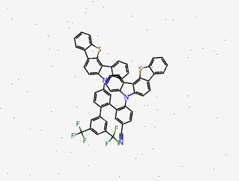 N#Cc1ccc(-n2c3ccccc3c3c4sc5ccccc5c4ccc32)c(-c2cc(-n3c4ccccc4c4c5sc6ccccc6c5ccc43)ccc2-c2cc(C(F)(F)F)cc(C(F)(F)F)c2)c1